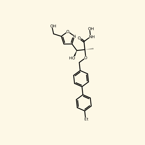 CCc1ccc(-c2ccc(CO[C@](C)(C(=O)NO)[C@@H](O)c3cc(CO)on3)cc2)cc1